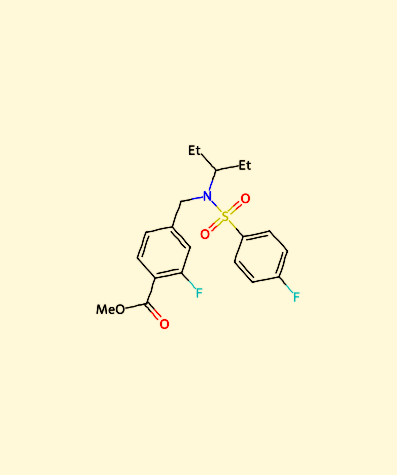 CCC(CC)N(Cc1ccc(C(=O)OC)c(F)c1)S(=O)(=O)c1ccc(F)cc1